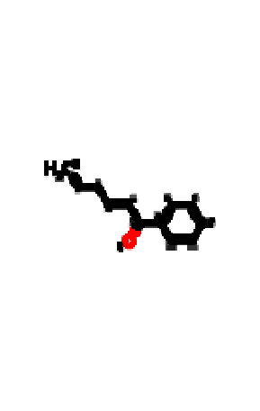 C=CCC=CC(=O)c1ccccc1